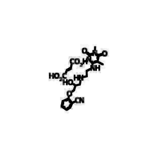 Cc1c(NCCNCC(O)COc2ccccc2C#N)n(C)c(=O)n(C)c1=O.O=C(O)/C=C/C(=O)O